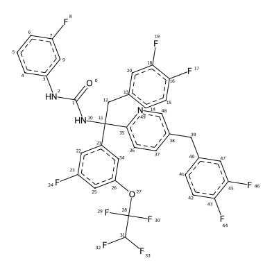 O=C(Nc1cccc(F)c1)NC(Cc1ccc(F)c(F)c1)(c1cc(F)cc(OC(F)(F)C(F)F)c1)c1ccc(Cc2ccc(F)c(F)c2)cn1